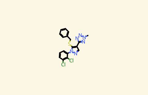 Cn1nnc(-c2cnn(-c3cccc(Cl)c3Cl)c2SCc2ccccc2)n1